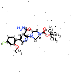 COc1cc(F)ccc1-c1cnc(N2CCN(C(=O)OC(C)(C)C)CC2)c(C(N)=O)c1